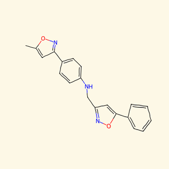 Cc1cc(-c2ccc(NCc3cc(-c4ccccc4)on3)cc2)no1